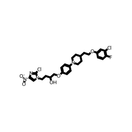 O=[N+]([O-])c1cn(CCC(O)COc2ccc(N3CCC(CCOc4ccc(F)c(Cl)c4)CC3)cc2)c(Cl)n1